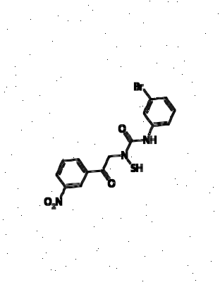 O=C(CN(S)C(=O)Nc1cccc(Br)c1)c1cccc([N+](=O)[O-])c1